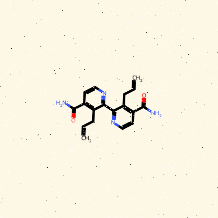 C=CCc1c(C(N)=O)ccnc1-c1nccc(C(N)=O)c1CC=C